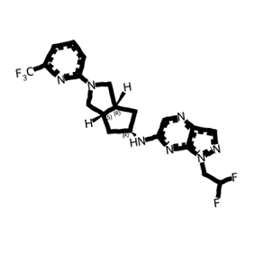 FC(F)Cn1ncc2ncc(N[C@@H]3C[C@@H]4CN(c5cccc(C(F)(F)F)n5)C[C@@H]4C3)nc21